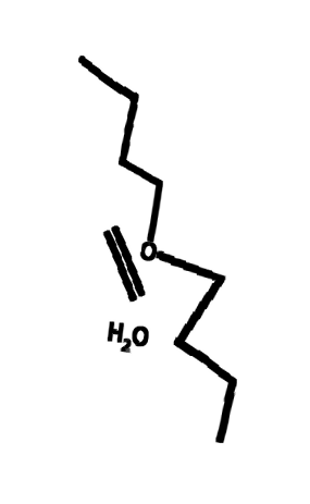 C=C.CCCCOCCCC.O